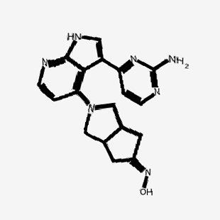 Nc1nccc(-c2c[nH]c3nccc(N4CC5CC(=NO)CC5C4)c23)n1